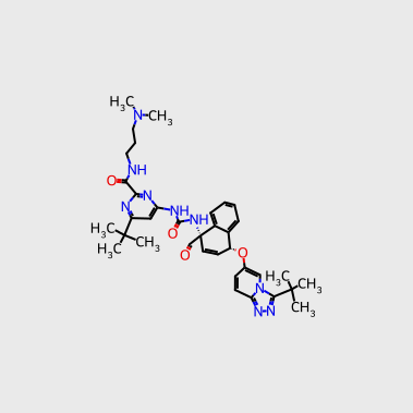 CN(C)CCCNC(=O)c1nc(NC(=O)N[C@@]2(C=O)C=C[C@@H](Oc3ccc4nnc(C(C)(C)C)n4c3)c3ccccc32)cc(C(C)(C)C)n1